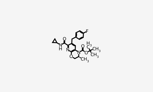 C[C@H]1COc2nc(C(=O)NC3CC3)c(Cc3ccc(F)cc3)cc2N1C(=O)OC(C)(C)C